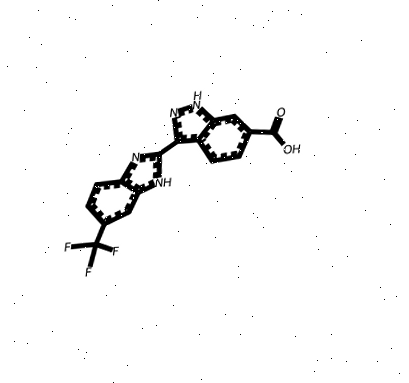 O=C(O)c1ccc2c(-c3nc4ccc(C(F)(F)F)cc4[nH]3)n[nH]c2c1